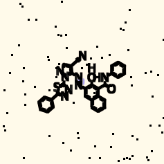 N#Cc1cnn(-c2nnc(-c3ccccc3)s2)c1/N=N/c1cc2ccccc2c(C(=O)Nc2ccccc2)c1O